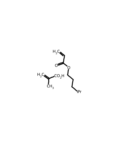 C=C(C)C(=O)O.C=CC(=O)OCCCC(C)C